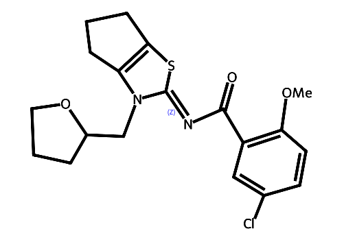 COc1ccc(Cl)cc1C(=O)/N=c1\sc2c(n1CC1CCCO1)CCC2